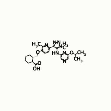 Cc1nc(-c2nnn(C)c2Nc2cncc(OC(C)C)n2)ccc1OC[C@H]1CCCC[C@@H]1C(=O)O